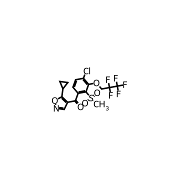 CS(=O)(=O)c1c(C(=O)c2cnoc2C2CC2)ccc(Cl)c1OCC(F)(F)C(F)(F)F